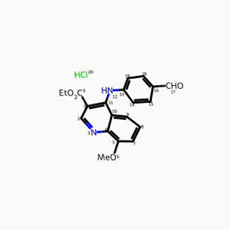 CCOC(=O)c1cnc2c(OC)cccc2c1Nc1ccc(C=O)cc1.Cl